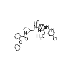 C=C(c1ncc(F)c(NCC2CCCN(C(=O)c3ccccc3Oc3ccccc3)C2)n1)c1cc(Cl)cnc1NC